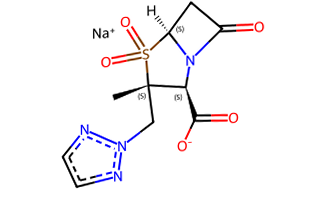 C[C@]1(Cn2nccn2)[C@H](C(=O)[O-])N2C(=O)C[C@@H]2S1(=O)=O.[Na+]